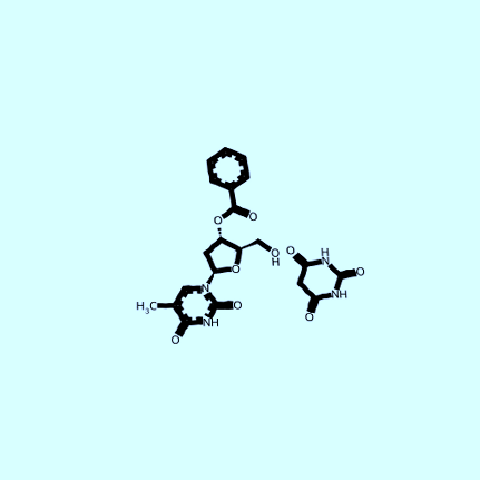 Cc1cn([C@H]2C[C@H](OC(=O)c3ccccc3)[C@@H](CO)O2)c(=O)[nH]c1=O.O=C1CC(=O)NC(=O)N1